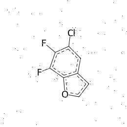 Fc1c(Cl)cc2ccoc2c1F